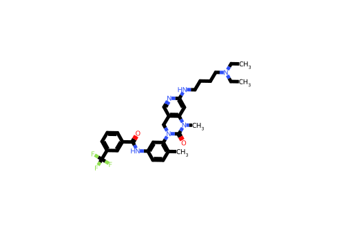 CCN(CC)CCCCNc1cc2c(cn1)CN(c1cc(NC(=O)c3cccc(C(F)(F)F)c3)ccc1C)C(=O)N2C